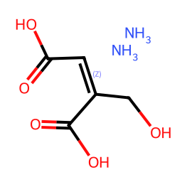 N.N.O=C(O)/C=C(/CO)C(=O)O